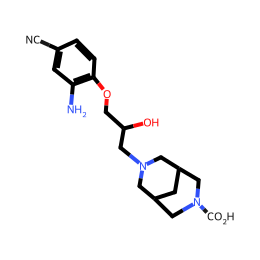 N#Cc1ccc(OCC(O)CN2CC3CC(C2)CN(C(=O)O)C3)c(N)c1